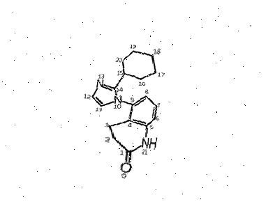 O=C1CCc2c(cccc2-n2ccnc2C2CCCCC2)N1